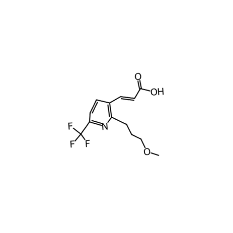 COCCCc1nc(C(F)(F)F)ccc1C=CC(=O)O